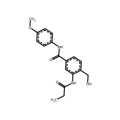 CCC(=O)Nc1cc(C(=O)Nc2ccc(OC)cc2)ccc1CO